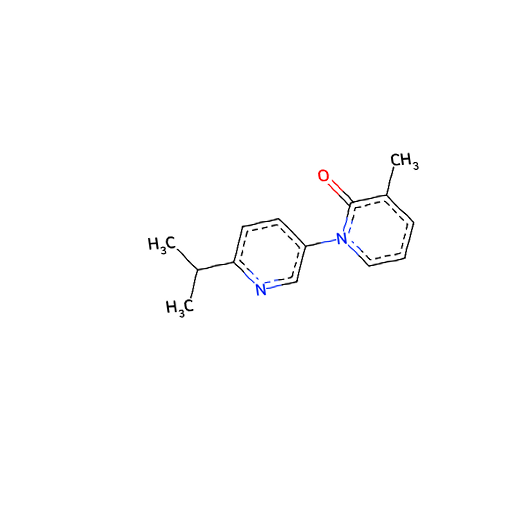 Cc1cccn(-c2ccc(C(C)C)nc2)c1=O